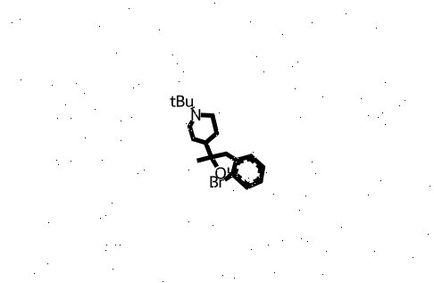 CC(O)(Cc1ccccc1Br)C1CCN(C(C)(C)C)CC1